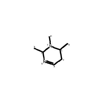 CC1CC=NC(C)N1C